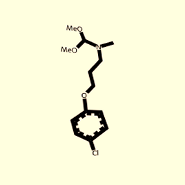 COC(OC)N(C)CCCOc1ccc(Cl)cc1